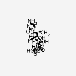 C=C[C@H]1[C@H](n2ccc(N)nc2=O)O[C@@](COP(=O)(O)OP(=O)(O)OP(=O)(O)O)(C(F)(F)F)[C@H]1O